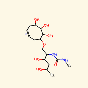 CCNC(=O)NC(COC1C/C=C\CC(O)C(O)C1O)C(O)CC(O)CC